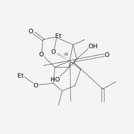 C=C(C)C1=C(C)C2(O)C(O)(C1=O)C1(C)CC(=O)OC23C(OCC)C(C)CC[C@]13OCC